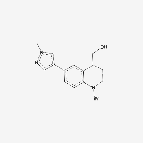 CC(C)N1CCC(CO)c2cc(-c3cnn(C)c3)ccc21